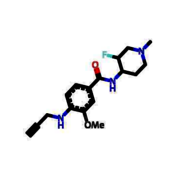 C#CCNc1ccc(C(=O)NC2CCN(C)CC2F)cc1OC